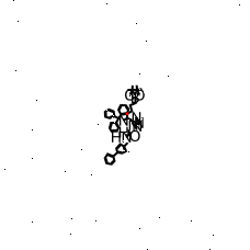 CC1(C)OB(CCCCC(NC(c2ccccc2)(c2ccccc2)c2ccccc2)c2nnnn2CC(=O)NCc2ccc(-c3ccccc3)cc2)OC1(C)C